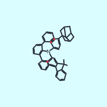 CC1(C)c2ccccc2-c2ccc(N(c3ccc(C45CC6CC(CC(C6)C4)C5)cc3)c3c(-c4ccccc4)cccc3-c3ccccc3)cc21